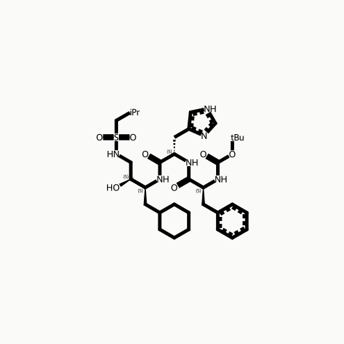 CC(C)CS(=O)(=O)NC[C@H](O)[C@H](CC1CCCCC1)NC(=O)[C@H](Cc1c[nH]cn1)NC(=O)[C@H](Cc1ccccc1)NC(=O)OC(C)(C)C